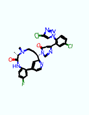 C[C@H]1C(=O)Nc2ccc(F)cc2-c2ccnc(c2)[C@@H](n2cnc(-c3cc(Cl)ccc3-n3cc(Cl)nn3)cc2=O)CCN1C